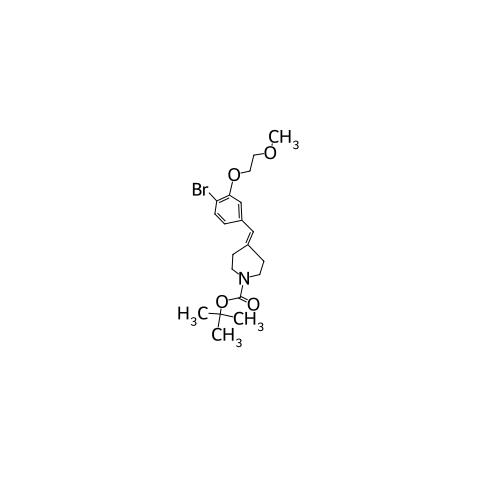 COCCOc1cc(C=C2CCN(C(=O)OC(C)(C)C)CC2)ccc1Br